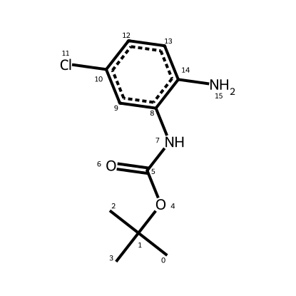 CC(C)(C)OC(=O)Nc1cc(Cl)ccc1N